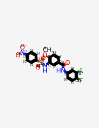 COc1ccc(C(=O)Nc2ccc(F)c(F)c2)cc1NS(=O)(=O)c1ccc([N+](=O)[O-])cc1